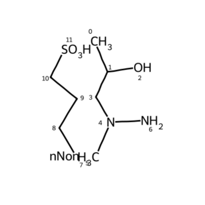 CC(O)CN(C)N.CCCCCCCCCCCCS(=O)(=O)O